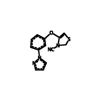 N#CN1CSC=C1Oc1cccc(-n2cccn2)c1